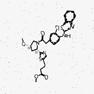 COC(=O)CCc1cnc([C@@H]2C[C@H](OC)CN2C(=O)Cc2ccc(Nc3nc4ccccc4s3)c(Cl)c2)s1